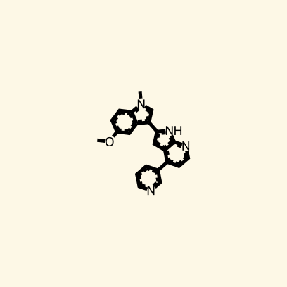 COc1ccc2c(c1)c(-c1cc3c(-c4cccnc4)ccnc3[nH]1)cn2C